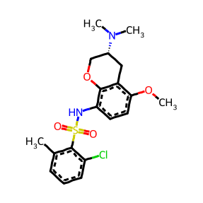 COc1ccc(NS(=O)(=O)c2c(C)cccc2Cl)c2c1C[C@@H](N(C)C)CO2